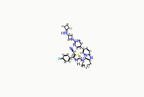 CCc1nc2ccc(-c3cnc(N4CC(NC5CCC5)C4)nc3)cn2c1N(C)c1nc(-c2ccc(F)cc2)c(C#N)s1